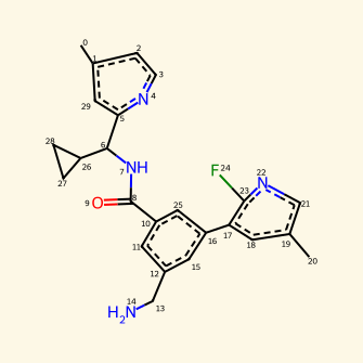 Cc1ccnc(C(NC(=O)c2cc(CN)cc(-c3cc(C)cnc3F)c2)C2CC2)c1